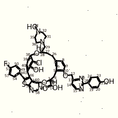 O=C(O)[C@H]1Cc2cc(ccc2OCc2ccnc(-c3ccc(O)cc3)n2)CC[C@@H](CN2CCN(O)CC2)Oc2ccc(c(O)c2Cl)-c2c(-c3ccc(F)cc3)sc3ncnc(c23)O1